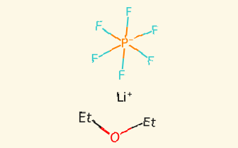 CCOCC.F[P-](F)(F)(F)(F)F.[Li+]